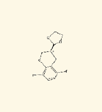 Fc1ccc(F)c2c1C[C@H](C1OCCO1)CO2